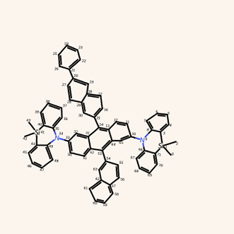 C[Si]1(C)c2ccccc2N(c2ccc3c(-c4ccc5cc(-c6ccccc6)ccc5c4)c4cc(N5c6ccccc6[Si](C)(C)c6ccccc65)ccc4c(-c4ccc5ccccc5c4)c3c2)c2ccccc21